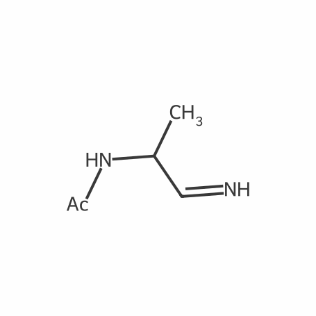 CC(=O)NC(C)C=N